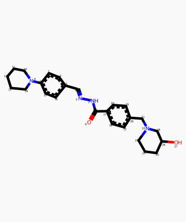 O=C(N/N=C/c1ccc(N2CCCCC2)cc1)c1ccc(CN2CCCC(O)C2)cc1